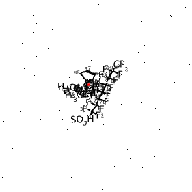 O=S(=O)(O)C(F)(F)C(F)(F)C(F)(F)C(F)(F)C(F)(F)C(F)(F)C(F)(F)C(F)(F)F.[CH3][Zr]([CH3])([CH3])([CH3])([CH3])([CH3])([CH3])([CH3])([CH3])([CH3])[C]1=CC=CC1